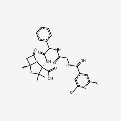 CC1(C)S[C@@H]2CC(=O)N2[C@@]1(NC(=O)C(NC(=O)CNC(=N)c1cc(Cl)nc(Cl)c1)c1ccccc1)C(=O)O